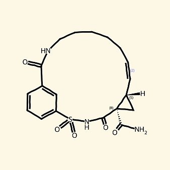 NC(=O)[C@@]12C[C@H]1/C=C\CCCCCNC(=O)c1cccc(c1)S(=O)(=O)NC2=O